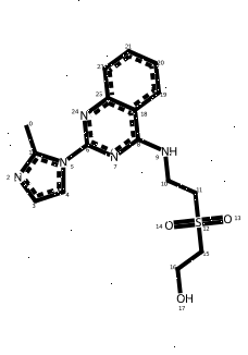 Cc1nccn1-c1nc(NCCS(=O)(=O)CCO)c2ccccc2n1